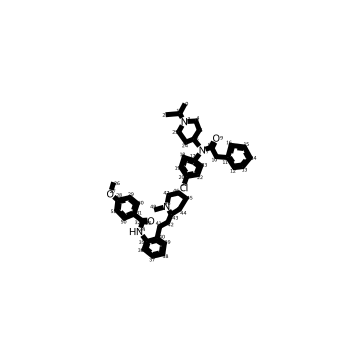 CC(C)N1CCC(N(C(=O)Cc2ccccc2)c2ccc(Cl)cc2)CC1.COc1ccc(C(=O)Nc2ccccc2CCC2CCCCN2C)cc1